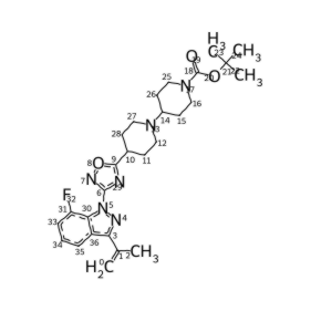 C=C(C)c1nn(-c2noc(C3CCN(C4CCN(C(=O)OC(C)(C)C)CC4)CC3)n2)c2c(F)cccc12